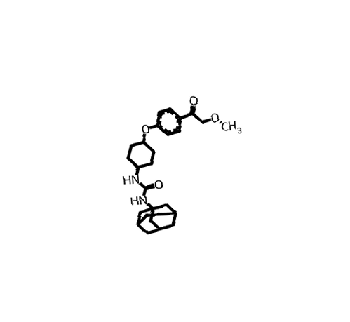 COCC(=O)c1ccc(OC2CCC(NC(=O)NC34CC5CC(CC(C5)C3)C4)CC2)cc1